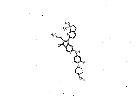 C=CCn1c(=O)c2cnc(Nc3ccc(N4CCN(C)CC4)c(F)c3)nc2n1-c1ccc2c(n1)[C@@](C)(O)CC2